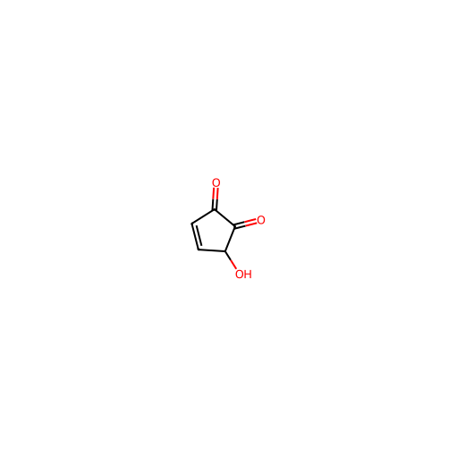 O=C1C=CC(O)C1=O